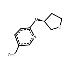 O=Cc1ccc(O[C@H]2CCOC2)nc1